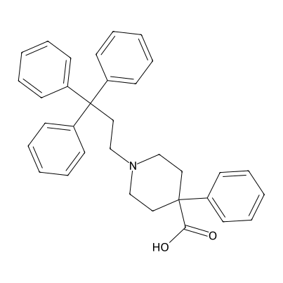 O=C(O)C1(c2ccccc2)CCN(CCC(c2ccccc2)(c2ccccc2)c2ccccc2)CC1